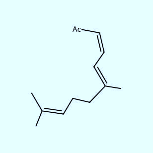 CC(=O)/C=C\C=C(/C)CCC=C(C)C